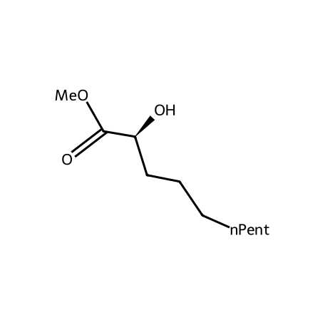 CCCCCCCC[C@H](O)C(=O)OC